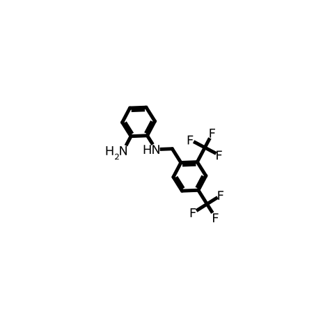 Nc1ccccc1NCc1ccc(C(F)(F)F)cc1C(F)(F)F